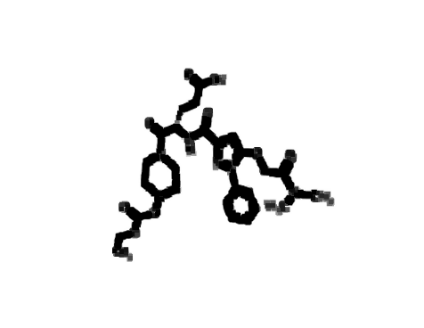 CCOC(=O)ON1CCN(C(=O)[C@H](CCC(=O)O)NC(=O)c2cc(OCC(=O)N(C)C)n(-c3ccccc3)n2)CC1